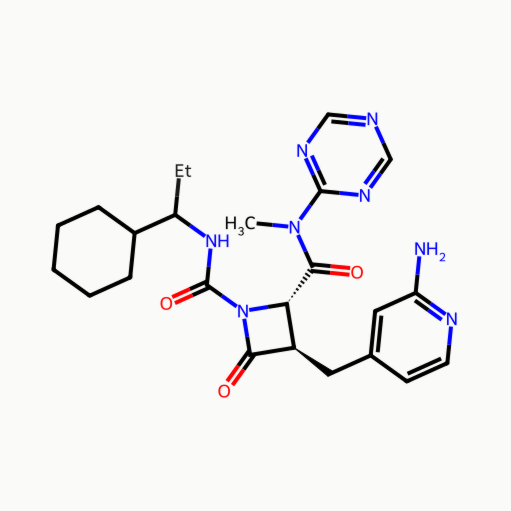 CCC(NC(=O)N1C(=O)[C@H](Cc2ccnc(N)c2)[C@H]1C(=O)N(C)c1ncncn1)C1CCCCC1